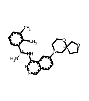 Cc1c([C@@H](N)Nc2nncc3ccc(N4CCO[C@@]5(CCOC5)C4)cc23)cccc1C(F)(F)F